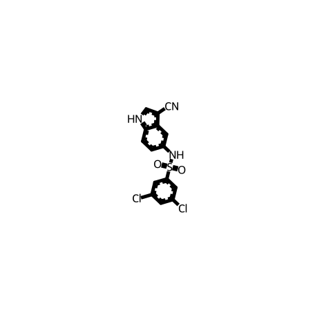 N#Cc1c[nH]c2ccc(NS(=O)(=O)c3cc(Cl)cc(Cl)c3)cc12